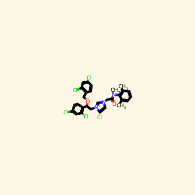 Cc1cccc(C)c1N(C)C(=O)Cn1cc[n+](CC(OCc2ccc(Cl)cc2Cl)c2ccc(Cl)cc2Cl)c1.[Cl-]